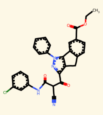 CCOC(=O)c1ccc2c(c1)-c1c(c(C(=O)C(C#N)C(=O)Nc3cccc(Cl)c3)nn1-c1ccccc1)C2